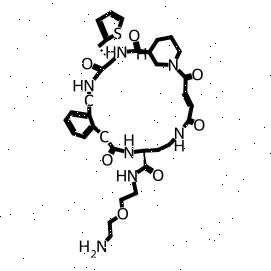 NCCOCCNC(=O)[C@@H]1CCNC(=O)/C=C/C(=O)N2CCC[C@H](C2)C(=O)N[C@@H](Cc2cccs2)C(=O)NCc2ccccc2CC(=O)N1